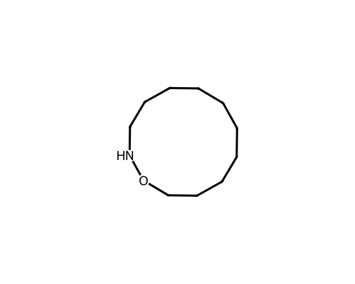 C1CCCCCONCCCC1